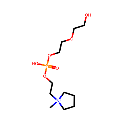 C[N+]1(CCOP(=O)(O)OCCOCCO)CCCC1